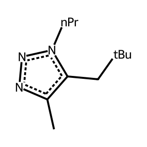 CCCn1nnc(C)c1CC(C)(C)C